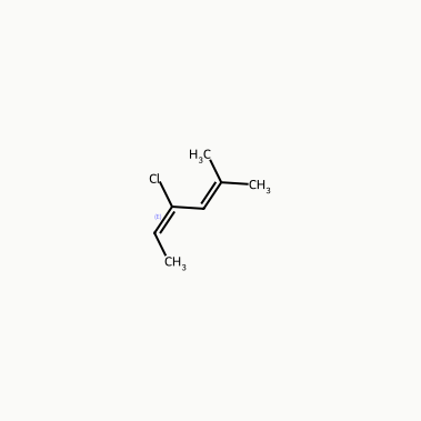 C/C=C(/Cl)C=C(C)C